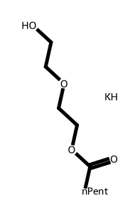 CCCCCC(=O)OCCOCCO.[KH]